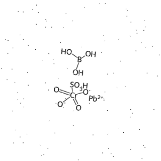 O=[S](=O)(O)[Cr](=[O])(=[O])([O-])[O-].OB(O)O.[Pb+2]